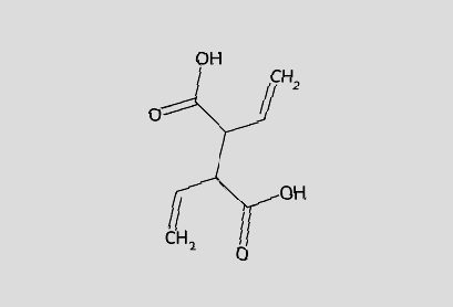 C=CC(C(=O)O)C(C=C)C(=O)O